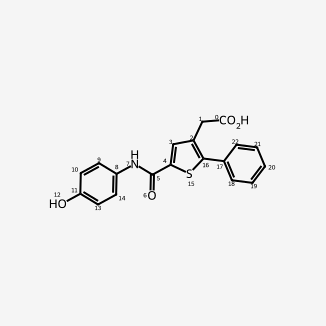 O=C(O)Cc1cc(C(=O)Nc2ccc(O)cc2)sc1-c1ccccc1